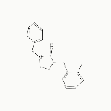 Cc1ccccc1CC1CCN(Cc2ccccc2)C1=O